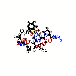 CC(C)(C)OC(=O)N[C@@H](CN(CCC/C=C\[C@@H]1C[C@@H]1C(=O)NS(=O)(=O)C1CC1)S(=O)(=O)c1ccccc1[N+](=O)[O-])C(=O)N1CCCC1C(N)=O